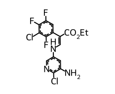 CCOC(=O)/C(=C/Nc1cnc(Cl)c(N)c1)c1cc(F)c(F)c(Cl)c1F